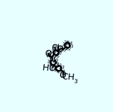 COCc1ccc(C2(O)CCN(C(C=O)c3ccc(OCc4ccccc4)c(Cl)c3)CC2)cc1